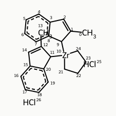 CC1=Cc2ccccc2[CH]1[Zr]1([CH]2C(C)=Cc3ccccc32)[CH2]CC[CH2]1.Cl.Cl